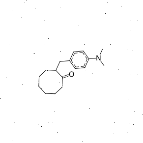 CN(C)c1ccc(CC2CCCCCCC2=O)cc1